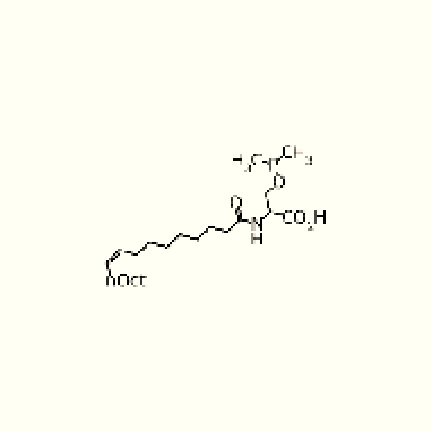 CCCCCCCC/C=C\CCCCCCCC(=O)N[C@@H](COP(C)C)C(=O)O